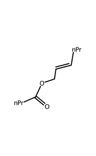 CCC/C=C/COC(=O)CCC